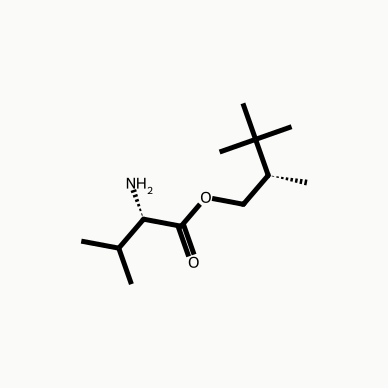 CC(C)[C@H](N)C(=O)OC[C@@H](C)C(C)(C)C